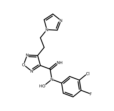 N=C(c1nonc1CCn1ccnc1)N(O)c1ccc(F)c(Cl)c1